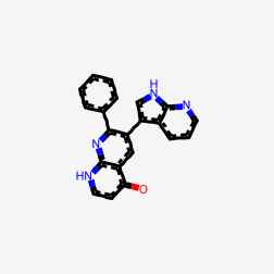 O=c1cc[nH]c2nc(-c3ccccc3)c(-c3c[nH]c4ncccc34)cc12